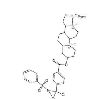 CCC[C@@H](C)[C@H]1CCC2C3CCC4CC(OC(=O)c5ccc(C6(Cl)ON6S(=O)(=O)c6ccccc6)cc5)CC[C@]4(C)C3CC[C@@]21C